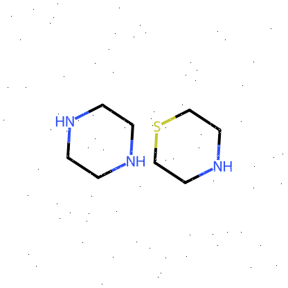 C1CNCCN1.C1CSCCN1